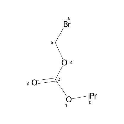 CC(C)OC(=O)OCBr